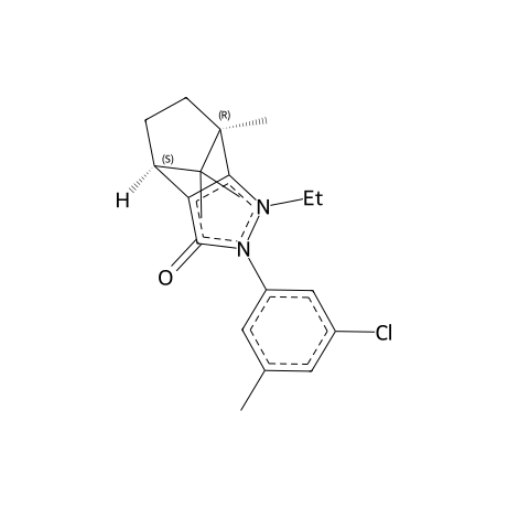 CCn1c2c(c(=O)n1-c1cc(C)cc(Cl)c1)[C@H]1CC[C@]2(C)C1(C)C